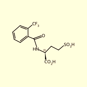 O=C(N[C@@H](CCS(=O)(=O)O)C(=O)O)c1ccccc1C(F)(F)F